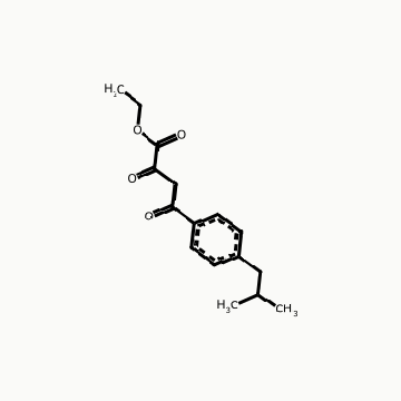 CCOC(=O)C(=O)CC(=O)c1ccc(CC(C)C)cc1